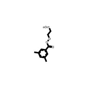 [CH2]CCCCCCCC[CH]OOC(=O)c1cc(C)cc(C)c1